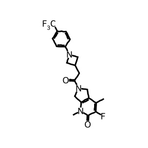 Cc1c2c(n(C)c(=O)c1F)CN(C(=O)CC1CN(c3ccc(C(F)(F)F)cc3)C1)C2